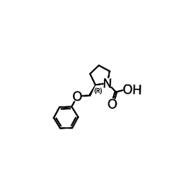 O=C(O)N1CCC[C@@H]1COc1ccccc1